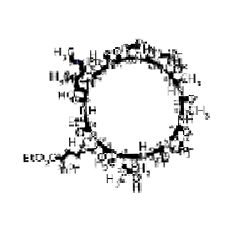 C/C=C/C[C@@H](C)[C@@H](O)[C@H]1C(=O)N[C@@H](CC)C(=O)N(C)[C@H](CSCC[C@H](CCC)C(=O)OCC)C(=O)N(C)[C@@H](CC(C)(C)O)C(=O)N[C@@H](C(C)C)C(=O)N(C)[C@@H](CC(C)C)C(=O)N[C@@H](C)C(=O)N[C@H](C)C(=O)N(C)[C@@H](CC(C)C)C(=O)N(C)[C@@H](CC(C)C)C(=O)N(C)[C@@H](C(C)C)C(=O)N1C